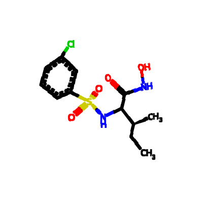 CC[C@H](C)C(NS(=O)(=O)c1cccc(Cl)c1)C(=O)NO